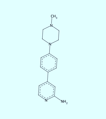 CN1CCN(c2ccc(-c3ccnc(N)c3)cc2)CC1